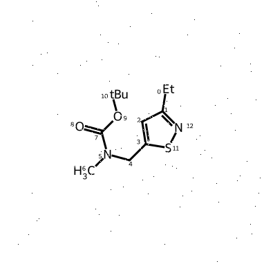 CCc1cc(CN(C)C(=O)OC(C)(C)C)sn1